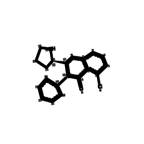 O=c1c2c(Cl)cccc2cc([C@@H]2CCCN2)n1-c1ccccc1